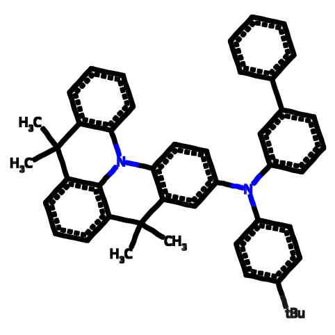 CC(C)(C)c1ccc(N(c2cccc(-c3ccccc3)c2)c2ccc3c(c2)C(C)(C)c2cccc4c2N3c2ccccc2C4(C)C)cc1